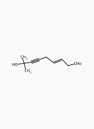 CC(=O)OCC=CCC#CC(C)(C)O